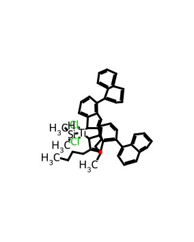 CCCCC1=Cc2c(-c3cccc4ccccc34)cccc2[CH]1[Ti]([Cl])([Cl])([CH]1C(CCCC)=Cc2c(-c3cccc4ccccc34)cccc21)[SiH](C)C